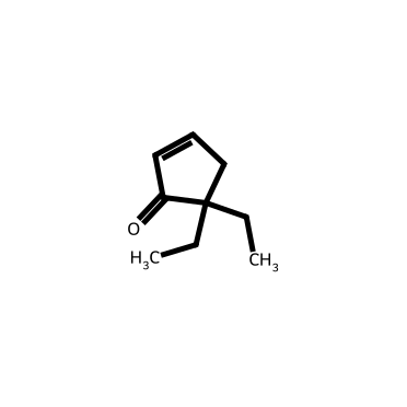 CCC1(CC)CC=CC1=O